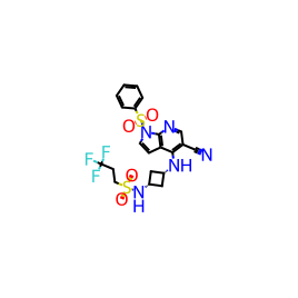 N#Cc1cnc2c(ccn2S(=O)(=O)c2ccccc2)c1N[C@H]1C[C@@H](NS(=O)(=O)CCC(F)(F)F)C1